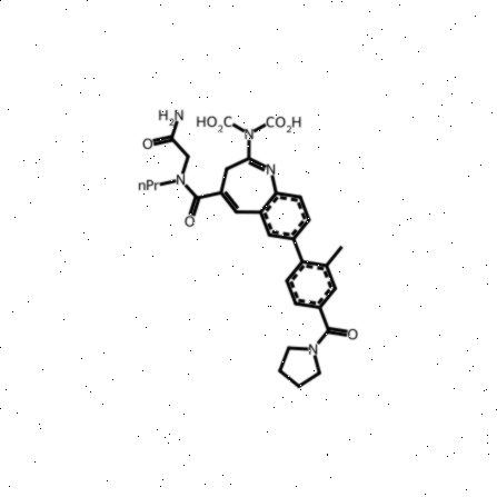 CCCN(CC(N)=O)C(=O)C1=Cc2cc(-c3ccc(C(=O)N4CCCC4)cc3C)ccc2N=C(N(C(=O)O)C(=O)O)C1